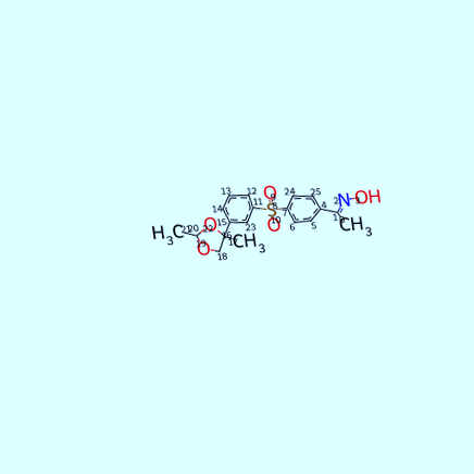 CC(=NO)c1ccc(S(=O)(=O)c2cccc(C3(C)COC(C)O3)c2)cc1